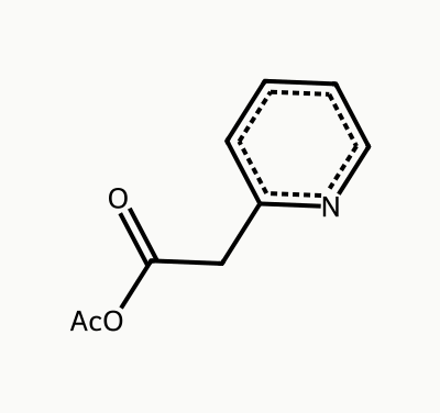 CC(=O)OC(=O)Cc1ccccn1